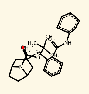 CC(C)(C)OC(=O)N1C2CCC1CC(C)([Se]c1ccccc1C(=O)Nc1ccccc1)C2